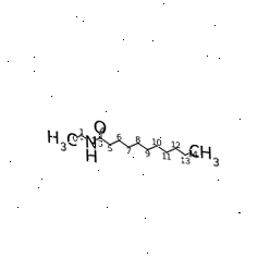 C[CH]NC(=O)CCCCCCCCCC